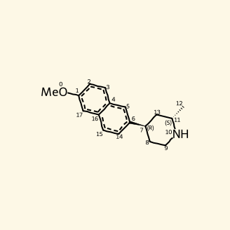 COc1ccc2cc([C@@H]3CCN[C@@H](C)C3)ccc2c1